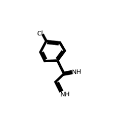 N=CC(=N)c1ccc(Cl)cc1